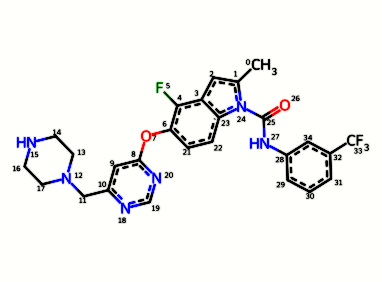 Cc1cc2c(F)c(Oc3cc(CN4CCNCC4)ncn3)ccc2n1C(=O)Nc1cccc(C(F)(F)F)c1